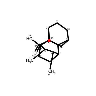 CC1C(C)C2CCC1C1C3CCC(C(C(=O)O)C3)C21